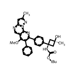 COc1c(-c2ccccc2)c(-c2ccc([C@]3(NC(=O)OC(C)(C)C)C[C@@](C)(O)C3)cc2)nc2c1cnc1cc(C)nn12